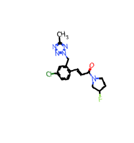 Cc1nnn(Cc2cc(Cl)ccc2C=CC(=O)N2CCC(F)C2)n1